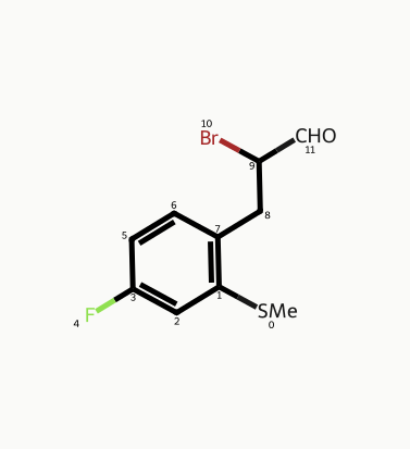 CSc1cc(F)ccc1CC(Br)C=O